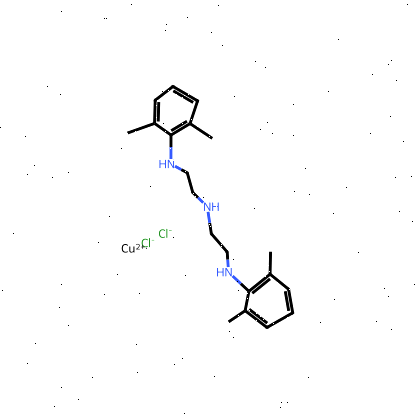 Cc1cccc(C)c1NCCNCCNc1c(C)cccc1C.[Cl-].[Cl-].[Cu+2]